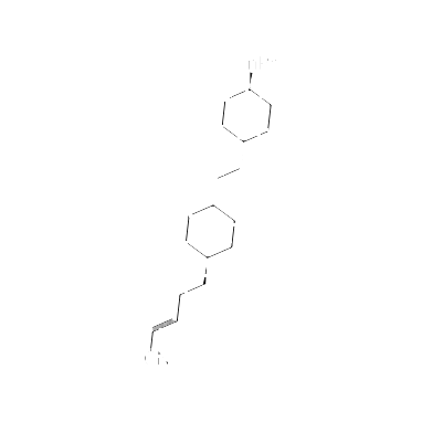 CCC[C@H]1CC[C@H](CC[C@H]2CC[C@H](CCC=CC#N)CC2)CC1